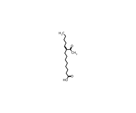 CCCCC=C(CCCCCCCC(=O)O)C(C)=O